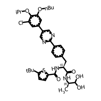 CCCCOc1cc(-c2cnc(-c3ccc(C[C@H](NC(=O)c4ccc(C(C)(C)C)s4)C(=O)N[C@H](C)C(O)O)cc3)nc2)cc(Cl)c1OC(C)C